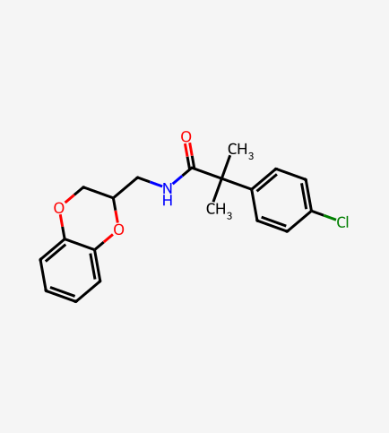 CC(C)(C(=O)NCC1COc2ccccc2O1)c1ccc(Cl)cc1